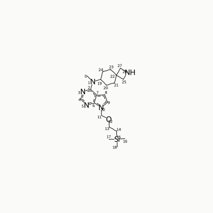 CN(c1ncnc2c1ccn2COCC[Si](C)(C)C)C1CCC2(CC1)CNC2